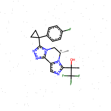 C[C@H]1Cn2c(nnc2C2(c3ccc(F)cc3)CC2)-c2cnc(C(C)(O)C(F)(F)F)n21